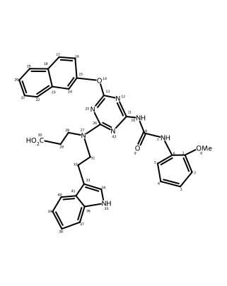 COc1ccccc1NC(=O)Nc1nc(Oc2ccc3ccccc3c2)nc(N(CCC(=O)O)CCc2c[nH]c3ccccc23)n1